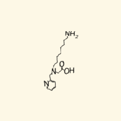 NCCCCCCCCN(CC(=O)O)Cc1ccccn1